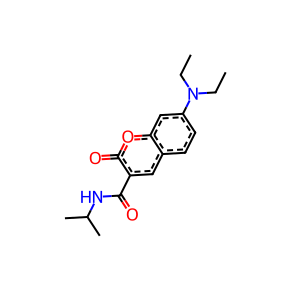 CCN(CC)c1ccc2cc(C(=O)NC(C)C)c(=O)oc2c1